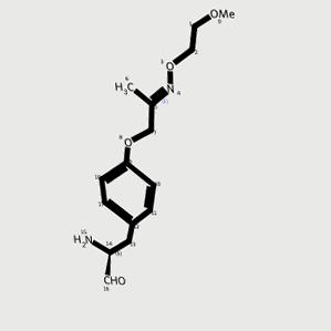 COCCO/N=C(\C)COc1ccc(C[C@H](N)C=O)cc1